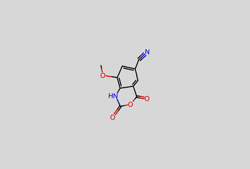 COc1cc(C#N)cc2c(=O)oc(=O)[nH]c12